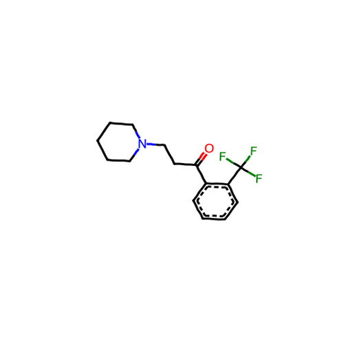 O=C(CCN1CCCCC1)c1ccccc1C(F)(F)F